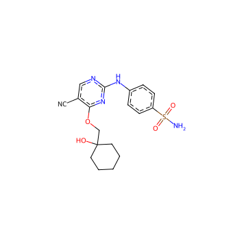 N#Cc1cnc(Nc2ccc(S(N)(=O)=O)cc2)nc1OCC1(O)CCCCC1